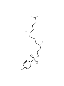 Cc1ccc(S(=O)(=O)OCC[C@@H](C)CCC[C@H](C)CCCC(C)C)cc1